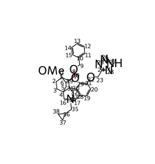 COC12CCC3(CC1COCc1ccccc1)C1Cc4ccc(OCc5nn[nH]n5)c5c4C3(CCN1CC1CC1)C2O5